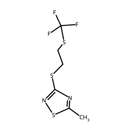 Cc1nc(SCCSC(F)(F)F)ns1